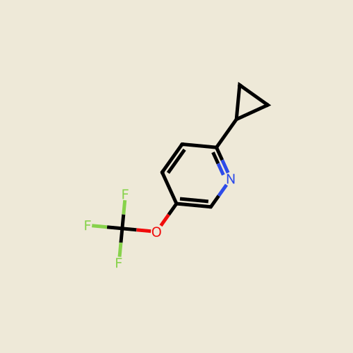 FC(F)(F)Oc1ccc(C2CC2)nc1